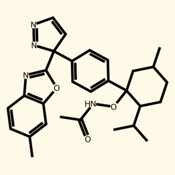 CC(=O)NOC1(c2ccc(C3(c4nc5ccc(C)cc5o4)C=CN=N3)cc2)CC(C)CCC1C(C)C